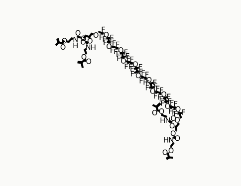 C=C(C)C(=O)OCCNC(=O)OCC(COCC(F)(F)OC(F)(F)C(F)(F)OC(F)(F)C(F)(F)OC(F)(F)C(F)(F)OC(F)(F)C(F)(F)OC(F)(F)C(F)(F)OC(F)(F)C(F)(F)OC(F)(F)C(F)(F)OC(F)(F)C(F)(F)OC(F)(F)C(F)(F)OC(F)(F)C(F)(F)OC(F)(F)COCC(COC(=O)NCCOC(=O)C(=C)C)OC(=O)NCCOC(=O)C(=C)C)OC(=O)NCCOC(=O)C(=C)C